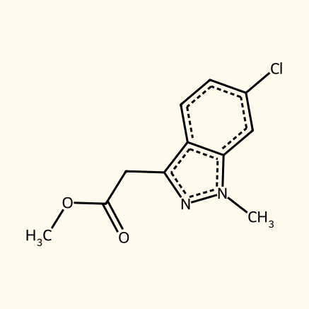 COC(=O)Cc1nn(C)c2cc(Cl)ccc12